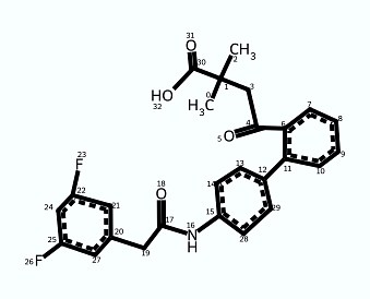 CC(C)(CC(=O)c1ccccc1-c1ccc(NC(=O)Cc2cc(F)cc(F)c2)cc1)C(=O)O